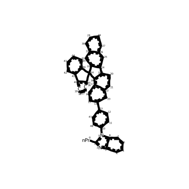 CCCc1nc2ccccc2n1-c1ccc(-c2ccc3c4c(ccc3c2)-c2cc3ccccc3cc2C42c3ccccc3-c3ccccc32)cc1